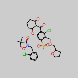 CC1(C)CON(Cc2ccccc2Cl)C1=O.CS(=O)(=O)c1ccc(C(=O)C2C(=O)CCCC2=O)c(Cl)c1COCC1CCCO1